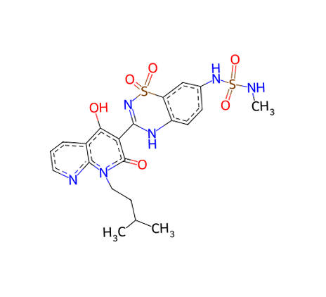 CNS(=O)(=O)Nc1ccc2c(c1)S(=O)(=O)N=C(c1c(O)c3cccnc3n(CCC(C)C)c1=O)N2